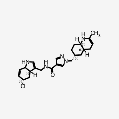 CC1=CC[C@@H]2C[C@H](Cn3cc(C(=O)NCC4=CNC5C=C[C@@H](Cl)C[C@@H]45)cn3)CC[C@@H]2N1